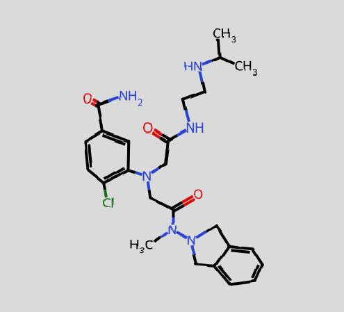 CC(C)NCCNC(=O)CN(CC(=O)N(C)N1Cc2ccccc2C1)c1cc(C(N)=O)ccc1Cl